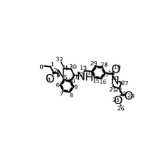 CCC(=O)N1c2ccccc2[C@H](NCc2ccc(C(=O)N3CC(C(=O)OC)C3)cc2)C[C@@H]1C